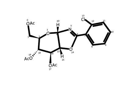 CC(=O)OC[C@H]1O[C@@H]2N=C(c3ccccc3Cl)O[C@@H]2[C@@H](OC(C)=O)[C@@H]1OC(C)=O